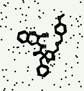 COc1ccc(COCC2=NOC(Cc3ccccc3)(C(=O)N[C@@H](Cc3ccccc3)B(O)O)C2)cc1